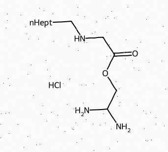 CCCCCCCCNCC(=O)OCC(N)N.Cl